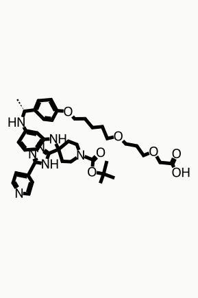 C[C@@H](Nc1cccc(NC2(c3nnc(-c4ccncc4)[nH]3)CCN(C(=O)OC(C)(C)C)CC2)c1)c1ccc(OCCCCCOCCCOCC(=O)O)cc1